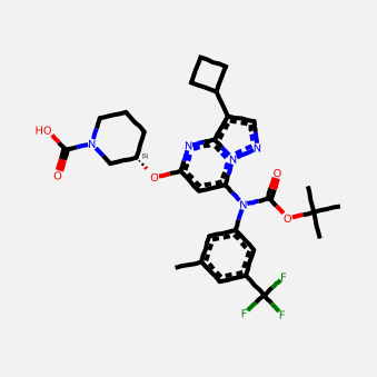 Cc1cc(N(C(=O)OC(C)(C)C)c2cc(O[C@H]3CCCN(C(=O)O)C3)nc3c(C4CCC4)cnn23)cc(C(F)(F)F)c1